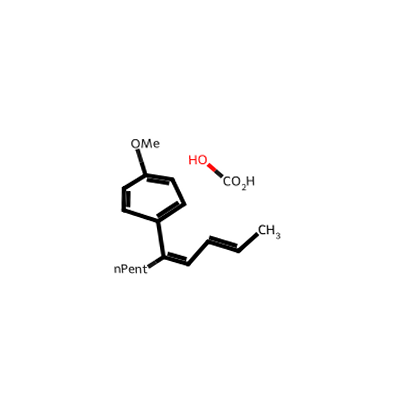 C/C=C/C=C(/CCCCC)c1ccc(OC)cc1.O=C(O)O